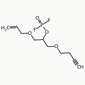 C#CCCOCC(COCC=C)OP(=O)(F)F